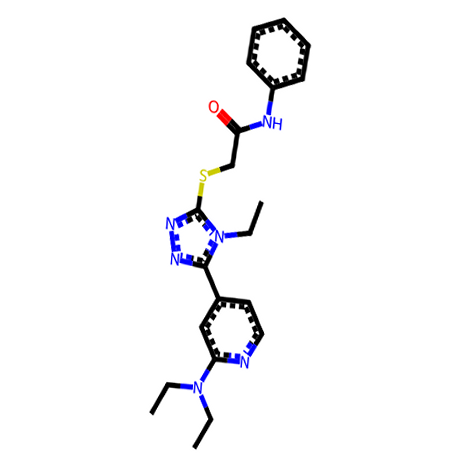 CCN(CC)c1cc(-c2nnc(SCC(=O)Nc3ccccc3)n2CC)ccn1